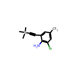 C[Si](C)(C)C#Cc1cc(C(F)(F)F)cc(Br)c1N